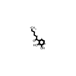 CCCCCC([O])c1cccc(O)c1O